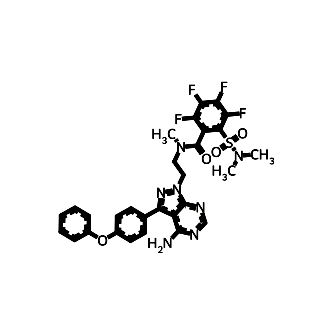 CN(CCn1nc(-c2ccc(Oc3ccccc3)cc2)c2c(N)ncnc21)C(=O)c1c(F)c(F)c(F)c(F)c1S(=O)(=O)N(C)C